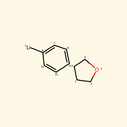 C1CCOC1.[Li][c]1ccccc1